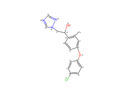 Cc1cc(Oc2ccc(Cl)cc2)ccc1C(O)Cn1cncn1